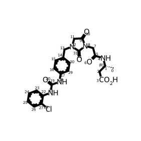 C[C@H](CC(=O)O)NC(=O)CN1C(=O)CN(Cc2ccc(NC(=O)Nc3ccccc3Cl)cc2)C1=O